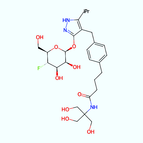 CC(C)c1[nH]nc(O[C@@H]2O[C@H](CO)[C@@H](F)[C@H](O)[C@@H]2O)c1Cc1ccc(CCCC(=O)NC(CO)(CO)CO)cc1